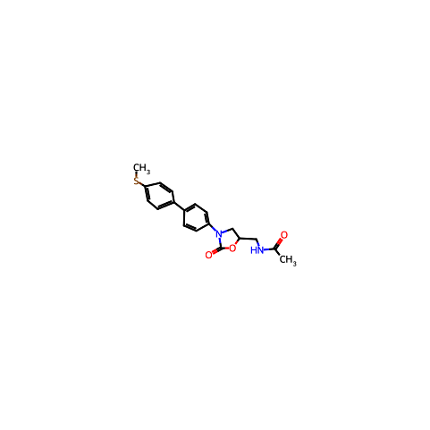 CSc1ccc(-c2ccc(N3CC(CNC(C)=O)OC3=O)cc2)cc1